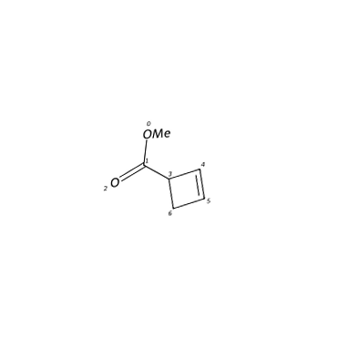 COC(=O)C1C=CC1